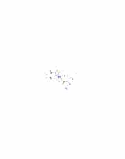 CC(C)(O/N=C(\C(=O)NC[C@@H]1C(=O)N2[C@@H]1[S@@+]([O-])C[C@@H]1CC(=O)O[C@@]12C(=O)O)c1nc(N)sc1Cl)C(=O)O